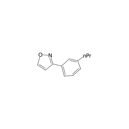 CCCc1cccc(-c2ccon2)c1